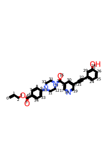 C=CCOC(=O)c1ccc(N2CCN(C(=O)c3cncc(C#Cc4cccc(O)c4)c3)CC2)cc1